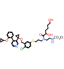 CCOC(=O)NCCN(CCCSc1ccc(Cl)c(COC2(c3cnccc3-c3ccccc3OC3CC3)CC2)c1)C(=O)C(O)CCCCO